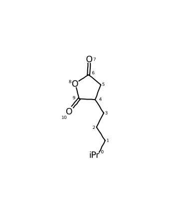 CC(C)CCCC1CC(=O)OC1=O